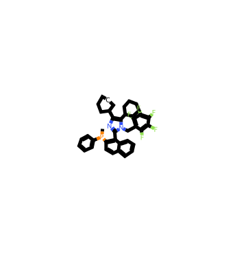 CP(c1ccccc1)c1ccc2ccccc2c1-c1nc(C2CCCCC2)c(C2CCCCC2)n1Cc1c(F)c(F)c(F)c(F)c1F